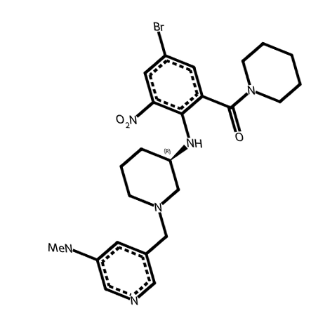 CNc1cncc(CN2CCC[C@@H](Nc3c(C(=O)N4CCCCC4)cc(Br)cc3[N+](=O)[O-])C2)c1